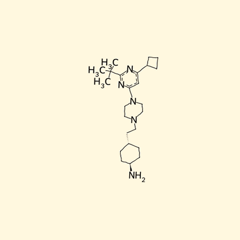 CC(C)(C)c1nc(C2CCC2)cc(N2CCN(CC[C@H]3CC[C@H](N)CC3)CC2)n1